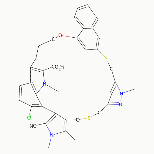 Cc1c2c(c(C#N)n1C)-c1c(Cl)ccc3c(c(C(=O)O)n(C)c13)CCCOc1cc(cc3ccccc13)SCc1cc(nn1C)CSC2